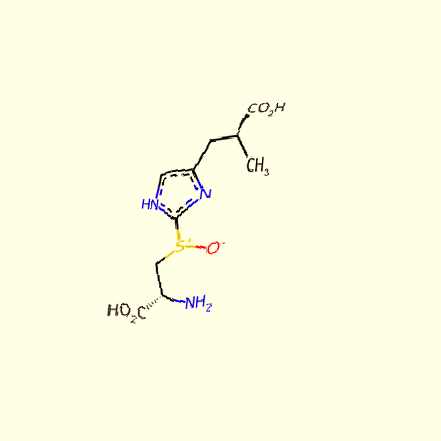 C[C@@H](Cc1c[nH]c([S+]([O-])C[C@H](N)C(=O)O)n1)C(=O)O